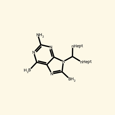 Bc1nc(N)nc2c1nc(B)n2C(CCCCCCC)CCCCCCC